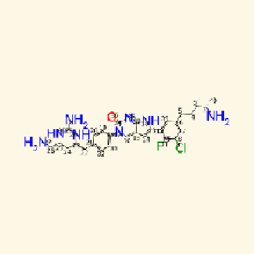 C[C@H](N)CCCc1cc(Cl)c(F)c(-c2cc3cn(-c4ccc(C[C@@H](CCCN)NC(=N)N)cc4)c(=O)nc3[nH]2)c1